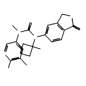 Cc1cc(N(C)C(=S)N(c2ccc3c(c2)CNC3=O)C2(C=O)CCC2)cnc1C#N